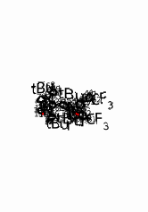 CC(C)(C)c1cc(N2c3ccccc3B3c4ccccc4N(c4cc(C(C)(C)C)cc(C(C)(C)C)c4)c4cc(-c5ccc6c(c5)c5ccccc5n6-c5ccc(-c6cccc(C(F)(F)F)c6)cc5-c5cccc(C(F)(F)F)c5)cc2c43)cc(C(C)(C)C)c1